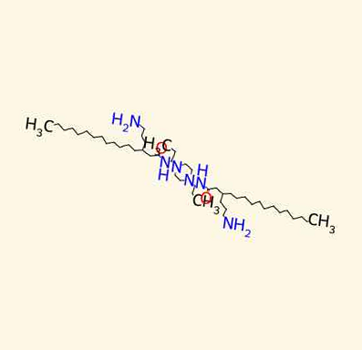 CCCCCCCCCCCCCC(CCCN)CC(=O)NC(CC)N1CCN(C(CC)NC(=O)CC(CCCN)CCCCCCCCCCCCC)CC1